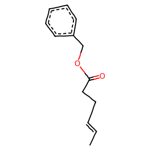 C/C=C/CCC(=O)OCc1ccccc1